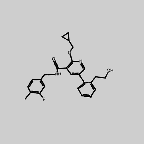 Cc1ccc(CNC(=O)c2cc(-c3ccccc3CCO)cnc2OCC2CC2)cc1F